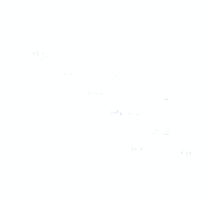 C=CCCC(=O)Nc1cccc(C)c1C